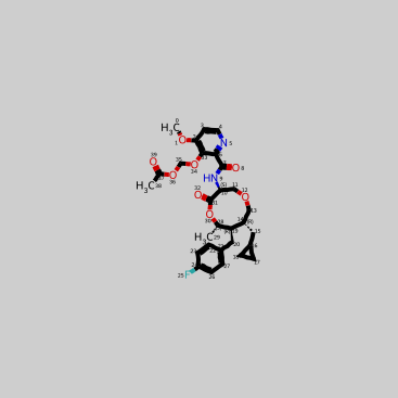 COc1ccnc(C(=O)N[C@H]2COC[C@H](CC3CC3)[C@@H](Cc3ccc(F)cc3)[C@H](C)OC2=O)c1OCOC(C)=O